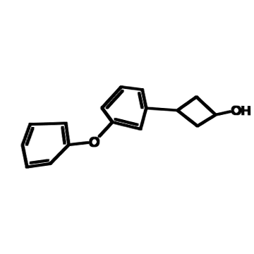 OC1CC(c2cccc(Oc3ccccc3)c2)C1